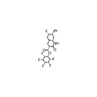 CC(C)c1cc2[nH]c(=O)c(C(=O)Oc3c(F)c(F)c(F)c(F)c3F)cc2cc1F